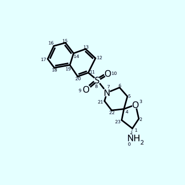 N[C@H]1COC2(CCN(S(=O)(=O)c3ccc4ccccc4c3)CC2)C1